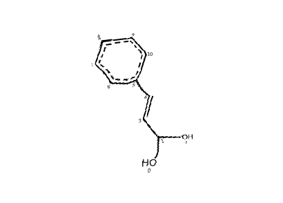 O[C](O)C=Cc1ccccc1